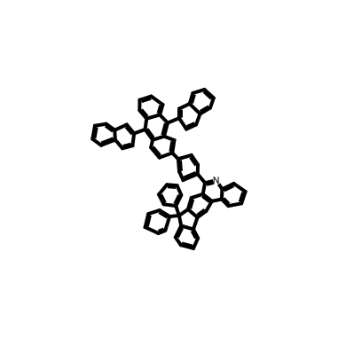 c1ccc(C2(c3ccccc3)c3ccccc3-c3cc4c(cc32)c(-c2ccc(-c3ccc5c(-c6ccc7ccccc7c6)c6ccccc6c(-c6ccc7ccccc7c6)c5c3)cc2)nc2ccccc24)cc1